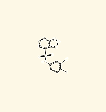 O=S(=O)(Nc1ccc(F)c(Cl)c1)c1cccc2nonc12